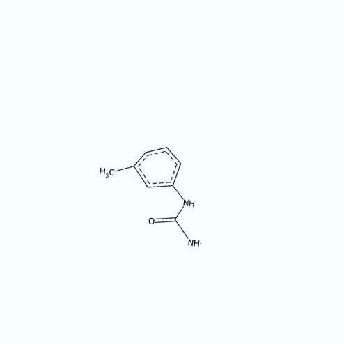 Cc1cccc(NC([NH])=O)c1